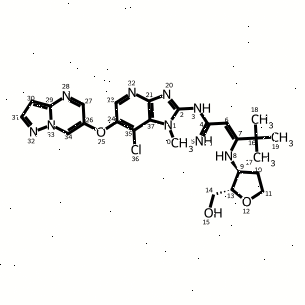 Cn1c(NC(=N)/C=C(\N[C@H]2CCO[C@@H]2CO)C(C)(C)C)nc2ncc(Oc3cnc4ccnn4c3)c(Cl)c21